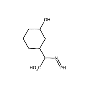 O=C(O)C(N=P)C1CCCC(O)C1